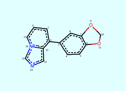 c1cc(-c2ccc3c(c2)OCO3)c2cncn2c1